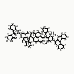 Cc1cc(-c2cc3ccccc3c3c2sc2ccccc23)cc(C)c1N(c1ccccc1)c1ccc2ccc3c(N(c4ccccc4)c4c(C)cc(-c5cc6ccccc6c6c5sc5ccccc56)cc4C)ccc4ccc1c2c43